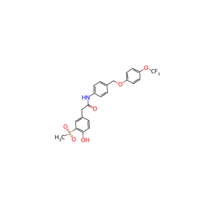 CS(=O)(=O)c1cc(CC(=O)Nc2ccc(COc3ccc(OC(F)(F)F)cc3)cc2)ccc1O